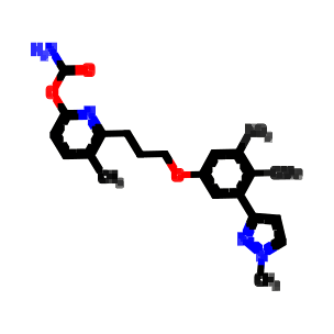 COc1c(-c2ccn(C)n2)cc(OCCCc2nc(OC(N)=O)ccc2C)cc1[N+](=O)[O-]